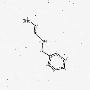 O=CC=CNCc1ccccc1